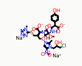 CO[C@@]1(NC(=O)C(C(=O)[O-])c2ccc(O)cc2)C(=O)N2C(C(=O)[O-])=C(CSc3nnnn3C)CO[C@@H]21.Cc1ncc([N+](=O)[O-])n1CC(O)CCl.[Na+].[Na+]